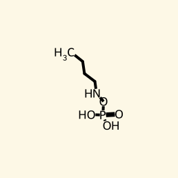 CCCCNOP(=O)(O)O